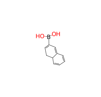 OB(O)C1=CCC2C=CC=CC2=C1